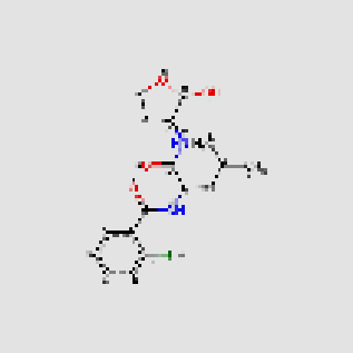 CC(C)C[C@H](NC(=O)c1ccccc1F)C(=O)N[C@H]1CCOC1O